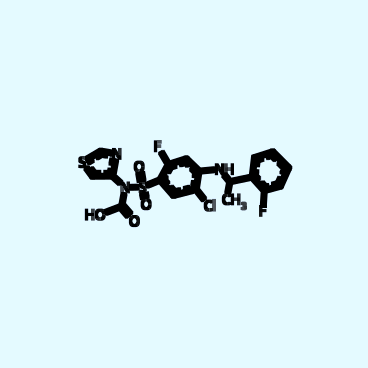 CC(Nc1cc(F)c(S(=O)(=O)N(C(=O)O)c2cscn2)cc1Cl)c1ccccc1F